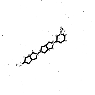 CC1CC2CN(C3CC4CN(C5CCCN(C)C5)CC4C3)CC2C1